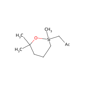 CC(=O)C[Si]1(C)CCCC(C)(C)O1